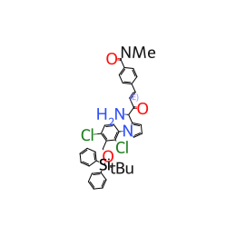 CNC(=O)c1ccc(/C=C/C(=O)C(N)c2cccn2-c2ccc(Cl)c(CO[Si](c3ccccc3)(c3ccccc3)C(C)(C)C)c2Cl)cc1